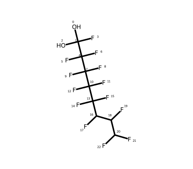 OC(O)(F)C(F)(F)C(F)(F)C(F)(F)C(F)(F)C(F)C(F)C(F)F